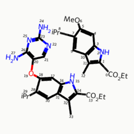 CCOC(=O)c1[nH]c2cc(OC)c(C(C)C)cc2c1C.CCOC(=O)c1[nH]c2cc(Oc3cnc(N)nc3N)c(C(C)C)cc2c1C